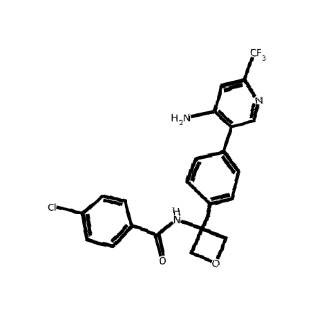 Nc1cc(C(F)(F)F)ncc1-c1ccc(C2(NC(=O)c3ccc(Cl)cc3)COC2)cc1